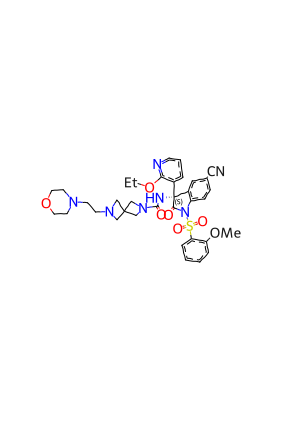 CCOc1ncccc1[C@]1(NC(=O)N2CC3(CN(CCN4CCOCC4)C3)C2)C(=O)N(S(=O)(=O)c2ccccc2OC)c2ccc(C#N)cc21